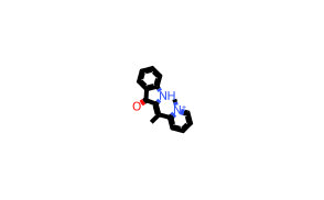 CC(=C1Nc2ccccc2C1=O)c1cccc[n+]1C